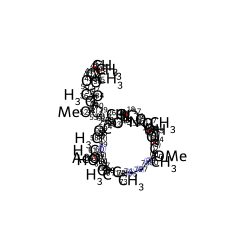 CO[C@H]1C[C@@H]2CC[C@@H](C)[C@@](O)(O2)C(=O)C(=O)N2CCCC[C@H]2C(=O)O[C@H]([C@H](C)C[C@@H]2CC[C@@H](OC(=O)C3(C)COC4(CC5CCC4(C)C5(C)C)OC3)[C@H](OC)C2)CC(=O)[C@H](C)/C=C(\C)[C@@H](OC(C)=O)[C@@H](CO)C(=O)[C@H](C)C[C@H](C)/C=C/C=C/C=C/1C